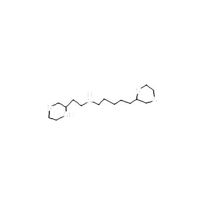 [CH](CCNCCC1CNCCN1)CCC1CNCCN1